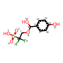 O=S(=O)(O)C(F)(F)COC(O)c1ccc(O)cc1